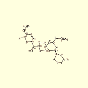 COCC1CN(C2CCC[C@@H](C)C2)CC2(CCN(C(=O)c3ccc(OC(C)C)c(C)c3)CC2)O1